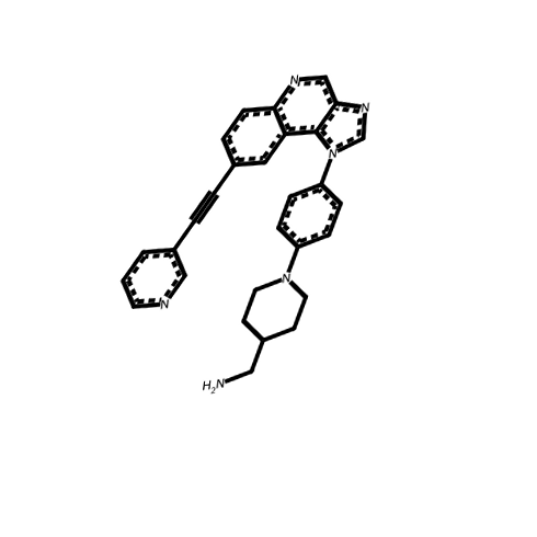 NCC1CCN(c2ccc(-n3cnc4cnc5ccc(C#Cc6cccnc6)cc5c43)cc2)CC1